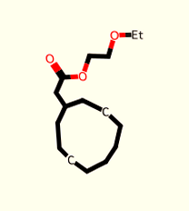 CCOCCOC(=O)CC1CCCCCCCCC1